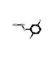 OBOc1cc(F)ccc1F